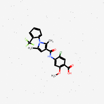 COc1cc(NC(=O)c2cc(C)n(-c3ccccc3C(F)(F)F)c2C)c(Cl)cc1C(=O)O